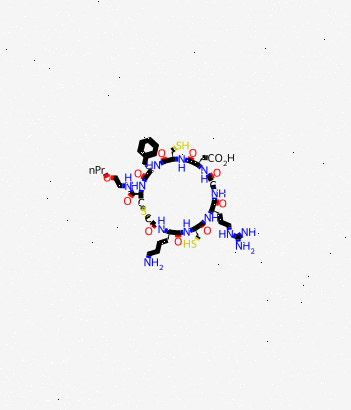 CCCOCCNC(=O)[C@@H]1CSCC(=O)N[C@@H](CCCCN)C(=O)N[C@@H](CS)C(=O)N[C@@H](CCCNC(=N)N)C(=O)NCC(=O)N[C@@H](CC(=O)O)C(=O)N[C@@H](CS)C(=O)N[C@@H](Cc2ccccc2)C(=O)N1